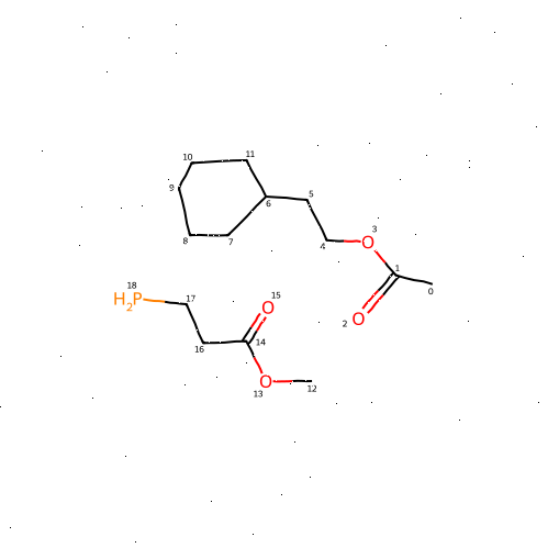 CC(=O)OCCC1CCCCC1.COC(=O)CCP